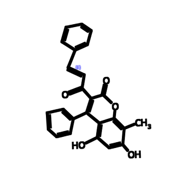 Cc1c(O)cc(O)c2c(-c3ccccc3)c(C(=O)/C=C/c3ccccc3)c(=O)oc12